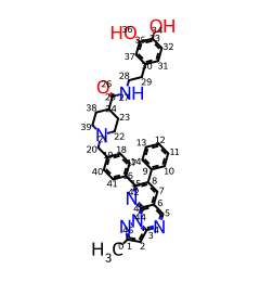 Cc1cc2ncc3cc(-c4ccccc4)c(-c4ccc(CN5CCC(C(=O)NCCc6ccc(O)c(O)c6)CC5)cc4)nc3n2n1